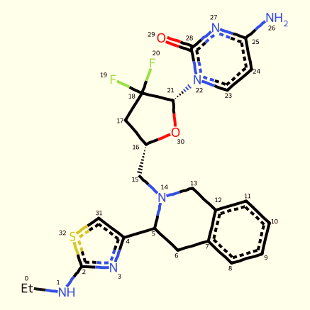 CCNc1nc(C2Cc3ccccc3CN2C[C@@H]2CC(F)(F)[C@H](n3ccc(N)nc3=O)O2)cs1